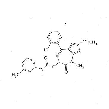 CCc1cc2c(s1)N(C)C(=O)C(OC(=O)Nc1cccc(C)c1)N=C2c1ccccc1Cl